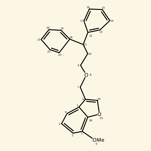 COc1cccc2c(COCCC(c3ccccc3)c3ccccc3)coc12